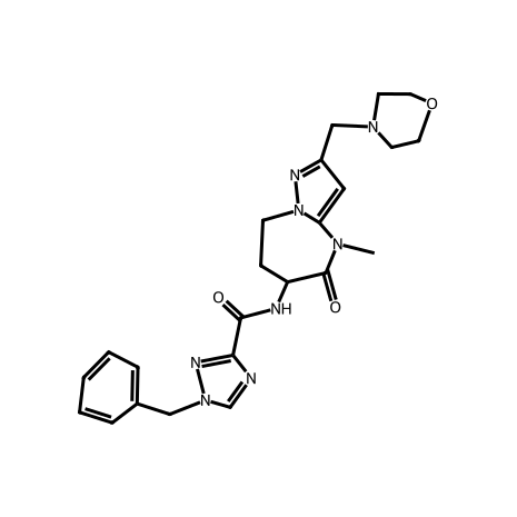 CN1C(=O)C(NC(=O)c2ncn(Cc3ccccc3)n2)CCn2nc(CN3CCOCC3)cc21